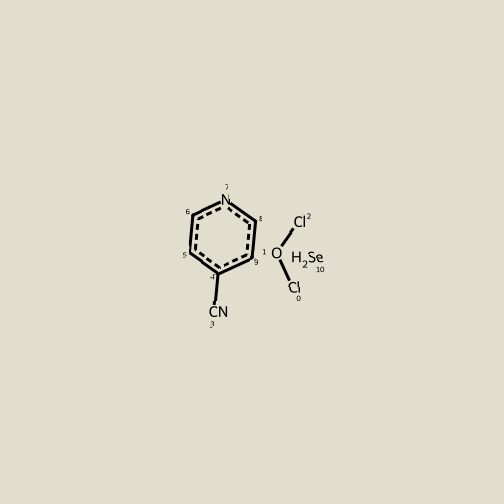 ClOCl.N#Cc1ccncc1.[SeH2]